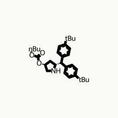 CCCCOC(=O)O[C@H]1CN[C@@H](C(c2ccc(C(C)(C)C)cc2)c2ccc(C(C)(C)C)cc2)C1